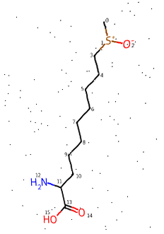 C[S+]([O-])CCCCCCCCC(N)C(=O)O